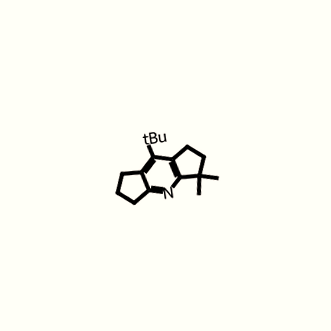 CC(C)(C)c1c2c(nc3c1CCC3(C)C)CCC2